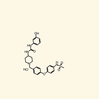 CS(=O)(=O)Nc1ccc(Oc2ccc(CN3CCC(NC(=O)Nc4cccc(O)c4)CC3)cc2)cc1.Cl